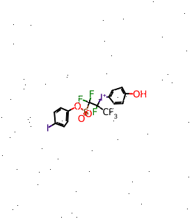 O=S(=O)(Oc1ccc(I)cc1)C(F)(F)C(F)([I+]c1ccc(O)cc1)C(F)(F)F